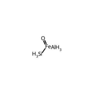 [AlH3].[O]=[Fe][SiH3]